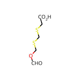 O=COCSCSCC(=O)O